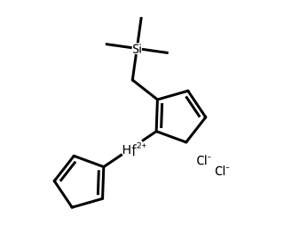 C[Si](C)(C)CC1=[C]([Hf+2][C]2=CCC=C2)CC=C1.[Cl-].[Cl-]